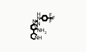 Nc1c(C2CCCNC2)ccc2nc(Nc3ccc(C(F)(F)F)cc3)nn12